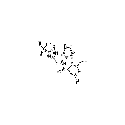 CSc1cc(Cl)cc(C(=O)NCc2nc(C(F)(F)F)nn2-c2nc#ccn2)c1